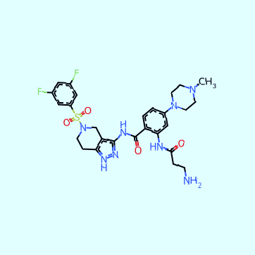 CN1CCN(c2ccc(C(=O)Nc3n[nH]c4c3CN(S(=O)(=O)c3cc(F)cc(F)c3)CC4)c(NC(=O)CCN)c2)CC1